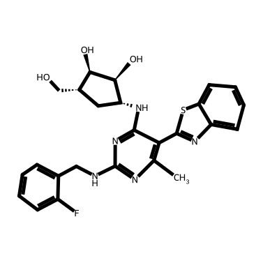 Cc1nc(NCc2ccccc2F)nc(N[C@@H]2C[C@H](CO)[C@@H](O)[C@H]2O)c1-c1nc2ccccc2s1